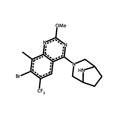 COc1nc(N2CC3CCC(C2)N3)c2cc(C(F)(F)F)c(Br)c(C)c2n1